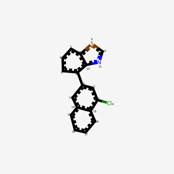 Clc1cc(-c2cccc3scnc23)cc2ccccc12